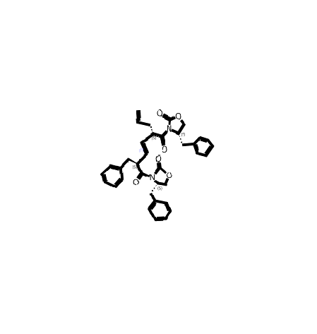 C=CC[C@@H](/C=C/[C@H](Cc1ccccc1)C(=O)N1C(=O)OC[C@@H]1Cc1ccccc1)C(=O)N1C(=O)OC[C@@H]1Cc1ccccc1